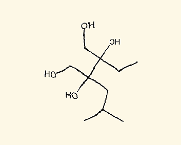 CCC(O)(CO)C(O)(CO)CC(C)C